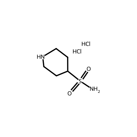 Cl.Cl.NS(=O)(=O)C1CCNCC1